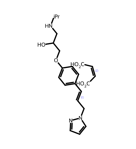 CC(C)NCC(O)COc1ccc(/C=C/Cn2cccn2)cc1.O=C(O)/C=C\C(=O)O